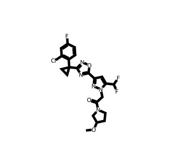 COC1CCN(C(=O)Cn2nc(-c3nc(C4(c5ccc(F)cc5Cl)CC4)no3)cc2C(F)F)C1